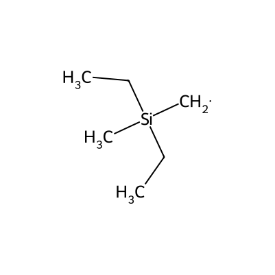 [CH2][Si](C)(CC)CC